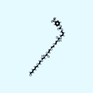 O=C(NCCOCCOCCOC(=O)NCCOCCOCCCCCCCl)OC/C=C\COC(=O)Oc1ccc([N+](=O)[O-])cc1